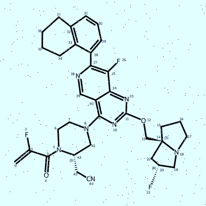 C=C(F)C(=O)N1CCN(c2nc(OC[C@@]34CCCN3C[C@H](F)C4)nc3c(F)c(-c4cccc5c4CCCC5)ncc23)C[C@@H]1CC#N